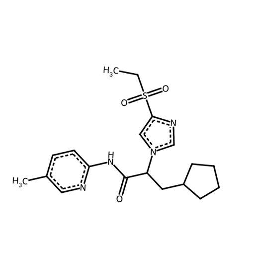 CCS(=O)(=O)c1cn(C(CC2CCCC2)C(=O)Nc2ccc(C)cn2)cn1